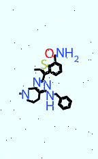 Cc1sc2c(C(N)=O)cccc2c1-c1nc2c(c(NCc3ccccc3)n1)CCCN(C)C2